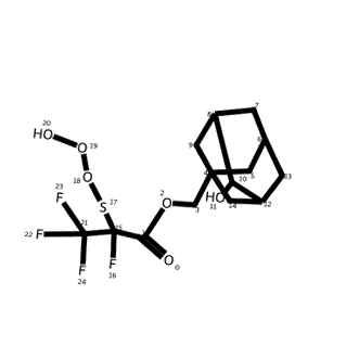 O=C(OCC12CC3CC(C1)C(O)C(C3)C2)C(F)(SOOO)C(F)(F)F